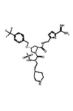 CS(=O)(=O)N[C@H](CCC1CCNCC1)C(=O)N1C[C@H](OCc2ccc(C(F)(F)F)cc2)C[C@H]1C(=O)NCc1ccc(C(=N)N)s1